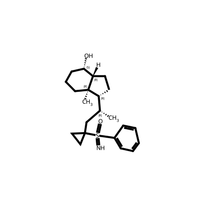 C[C@H](CC1(S(=N)(=O)c2ccccc2)CC1)[C@H]1CC[C@H]2[C@@H](O)CCC[C@]12C